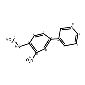 O=C(O)Nc1ccc(-c2cccnc2)cc1[N+](=O)[O-]